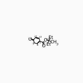 CCC(C)(CC)OC(=O)C1=CCC(=O)C=C1